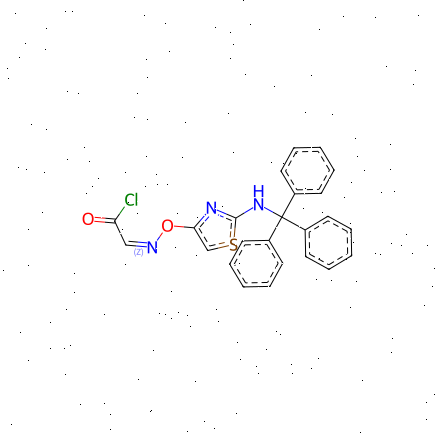 O=C(Cl)/C=N\Oc1csc(NC(c2ccccc2)(c2ccccc2)c2ccccc2)n1